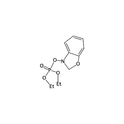 CCOP(=O)(OCC)ON1COc2ccccc21